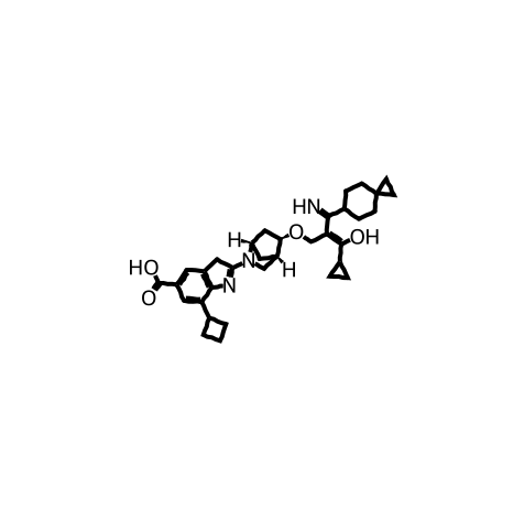 N=C(/C(CO[C@@H]1C[C@@H]2C[C@H]1CN2C1=Nc2c(cc(C(=O)O)cc2C2CCC2)C1)=C(\O)C1CC1)C1CCC2(CC1)CC2